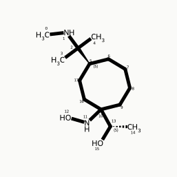 CNC(C)(C)[C@H]1CCCCC(NO)([C@H](C)O)CC1